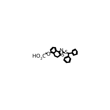 O=C(O)COc1cccc2c1CCc1sc(SC(c3ccccc3)c3ccccc3)nc1-2